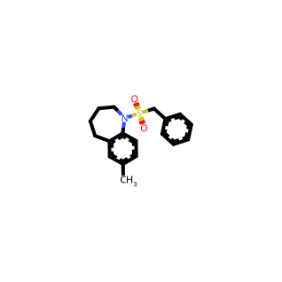 Cc1ccc2c(c1)CCCCN2S(=O)(=O)Cc1ccccc1